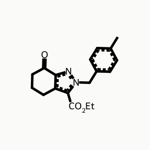 CCOC(=O)c1c2c(nn1Cc1ccc(C)cc1)C(=O)CCC2